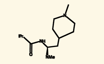 CN[C@H](CC1CCN(C)CC1)NC(=O)C(C)C